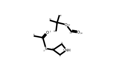 CC(=O)SC1CNC1.CC(C)(C)OC=O